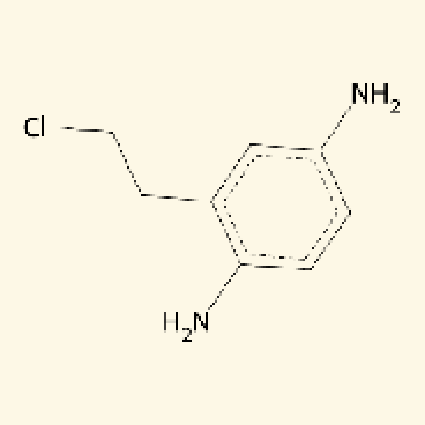 Nc1ccc(N)c(CCCl)c1